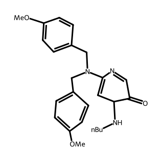 CCCCNC1C=C(N(Cc2ccc(OC)cc2)Cc2ccc(OC)cc2)N=CC1=O